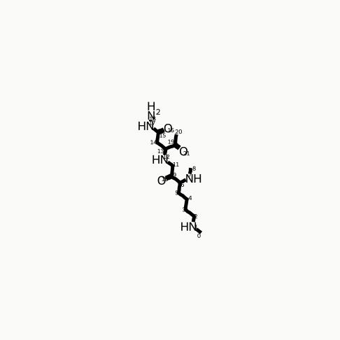 CNCCCCC(NC)C(=O)CNC(CC(=O)NN)C(C)=O